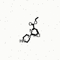 CCOC(=O)c1cccc(N2CCNCC2)n1.Cl